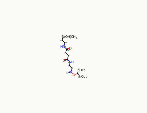 CCCCCCCCC(CCCCCCCC)ON(C)CCNC(=O)CCC(=O)NCCN(C)O